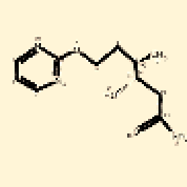 C[C@H](CCOc1ncccn1)[C@@H](O)CC(N)=O